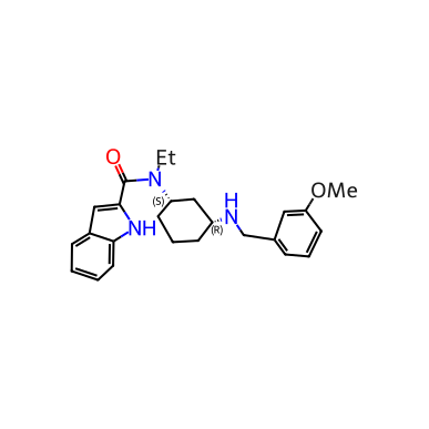 CCN(C(=O)c1cc2ccccc2[nH]1)[C@H]1CCC[C@@H](NCc2cccc(OC)c2)C1